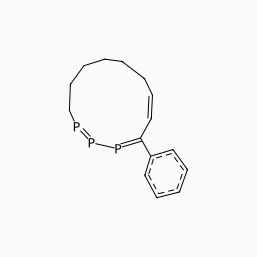 C1=CC(c2ccccc2)=PP=PCCCCCC1